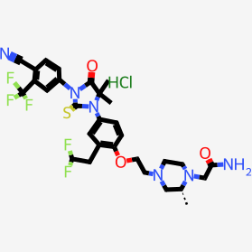 C[C@@H]1CN(CCOc2ccc(N3C(=S)N(c4ccc(C#N)c(C(F)(F)F)c4)C(=O)C3(C)C)cc2CC(F)F)CCN1CC(N)=O.Cl